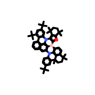 Cc1cc2c3c(c1)N1c4ccc(C(C)(C)C)cc4C4(C)CCC(C)(C)c5ccc(c1c54)B3c1oc3c(c1N2c1cc(C(C)(C)C)cc(C(C)(C)C)c1-c1ccccc1)C(C)(C)CCC3(C)C